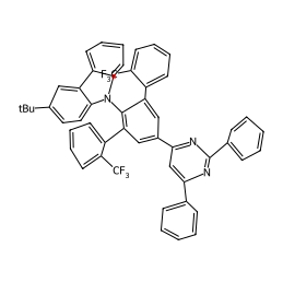 CC(C)(C)c1ccc2c(c1)c1ccccc1n2-c1c(-c2ccccc2C(F)(F)F)cc(-c2cc(-c3ccccc3)nc(-c3ccccc3)n2)cc1-c1ccccc1C(F)(F)F